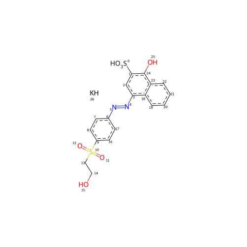 O=S(=O)(O)c1cc(N=Nc2ccc(S(=O)(=O)CCO)cc2)c2ccccc2c1O.[KH]